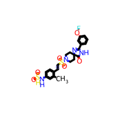 Cc1cc(N[SH](=O)=O)ccc1/C=C/S(=O)(=O)N1CCC2(CC1)N=C(c1cccc(OF)c1)NC2=O